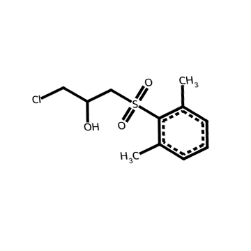 Cc1cccc(C)c1S(=O)(=O)CC(O)CCl